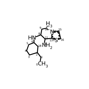 CCC1CCCC(NC(CC)C(N)c2nccs2)C1